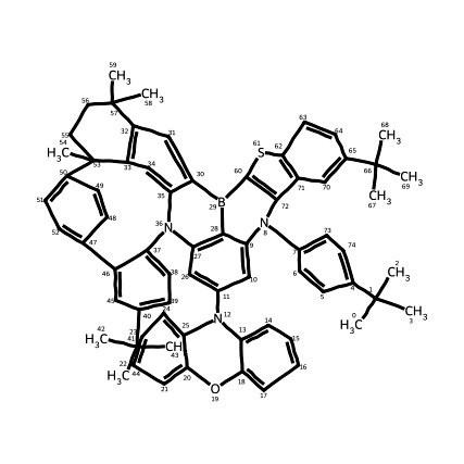 CC(C)(C)c1ccc(N2c3cc(N4c5ccccc5Oc5ccccc54)cc4c3B(c3cc5c6cc3N4c3ccc(C(C)(C)C)cc3-c3ccc(cc3)C6(C)CCC5(C)C)c3sc4ccc(C(C)(C)C)cc4c32)cc1